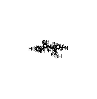 CC(C)(C#N)c1cc(Br)cc(C(CC(=O)O)NC(=O)CNc2cc(O)cc(NC3=NCC(O)CN3)c2)c1